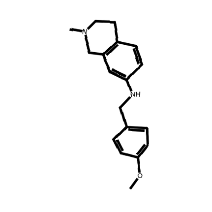 COc1ccc(CNc2ccc3c(c2)CN(C)CC3)cc1